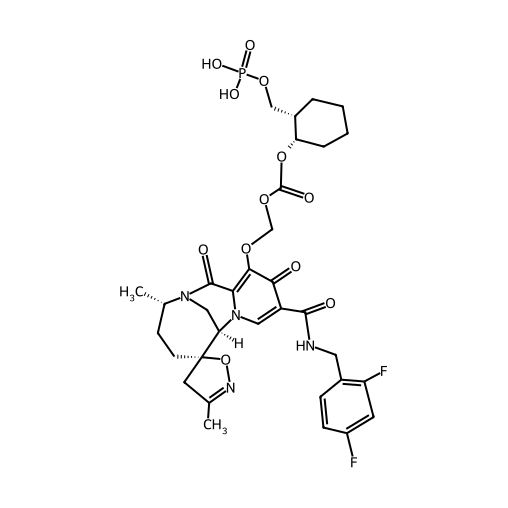 CC1=NO[C@@]2(CC[C@H](C)N3C[C@H]2n2cc(C(=O)NCc4ccc(F)cc4F)c(=O)c(OCOC(=O)O[C@H]4CCCC[C@H]4COP(=O)(O)O)c2C3=O)C1